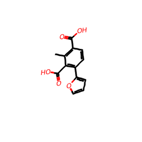 Cc1c(C(=O)O)ccc(-c2ccco2)c1C(=O)O